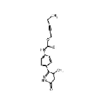 CCC#CCOC(=O)Nc1ccc(C2=NNC(=O)CC2C)cc1